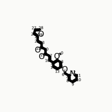 COc1cc(OCc2ccccn2)ccc1C=CC(=O)CC(=O)C=Cc1ccco1